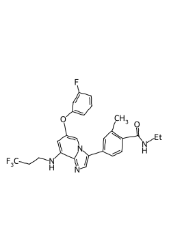 CCNC(=O)c1ccc(-c2cnc3c(NCCC(F)(F)F)cc(Oc4cccc(F)c4)cn23)cc1C